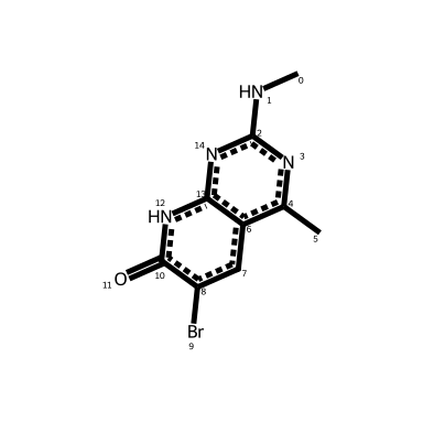 CNc1nc(C)c2cc(Br)c(=O)[nH]c2n1